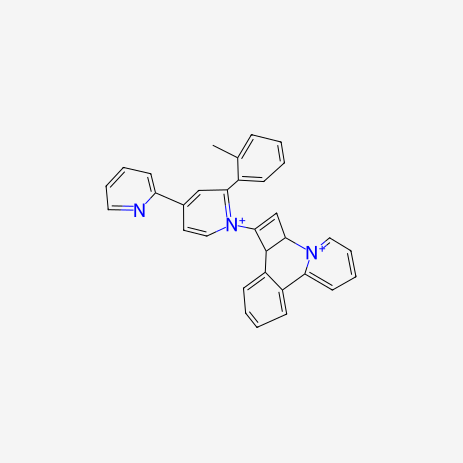 Cc1ccccc1-c1cc(-c2ccccn2)cc[n+]1C1=CC2C1c1ccccc1-c1cccc[n+]12